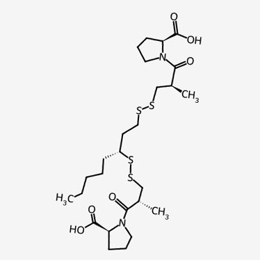 CCCCC[C@H](CCSSC[C@H](C)C(=O)N1CCC[C@H]1C(=O)O)SSC[C@H](C)C(=O)N1CCC[C@H]1C(=O)O